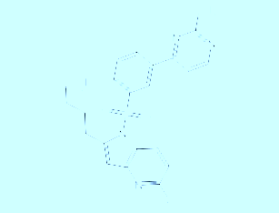 Cc1nccc(-c2cccc(S(=O)(=O)n3c(CCCC(=O)O)cc4nc(Cl)ccc43)c2)n1